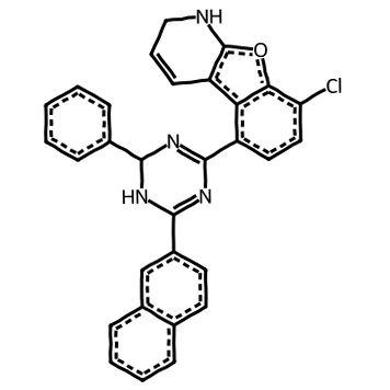 Clc1ccc(C2=NC(c3ccccc3)NC(c3ccc4ccccc4c3)=N2)c2c3c(oc12)NCC=C3